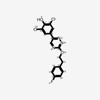 Oc1c(Cl)cc(-c2cnc(OCCc3ccc(F)cc3)nn2)cc1Cl